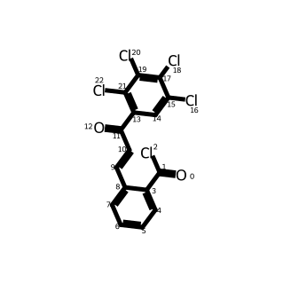 O=C(Cl)c1ccccc1C=CC(=O)c1cc(Cl)c(Cl)c(Cl)c1Cl